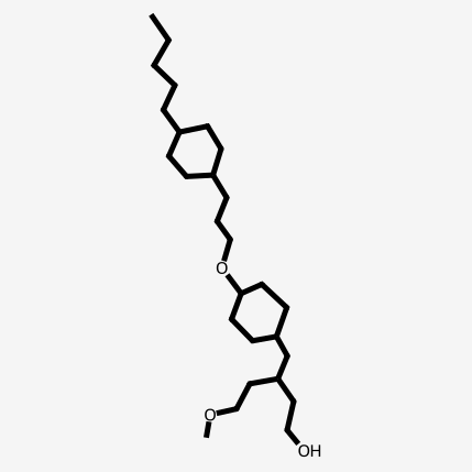 CCCCCC1CCC(CCCOC2CCC(CC(CCO)CCOC)CC2)CC1